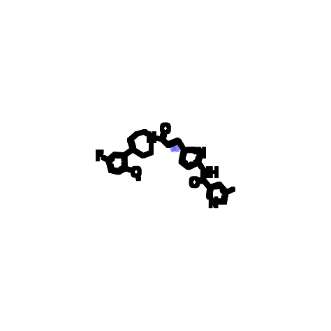 COc1ccc(F)cc1C1=CCCN(C(=O)/C=C/c2ccc(NC(=O)c3cncc(C)c3)nc2)CC1